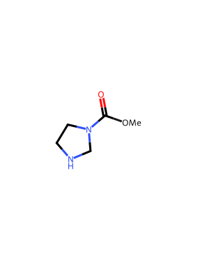 COC(=O)N1CCNC1